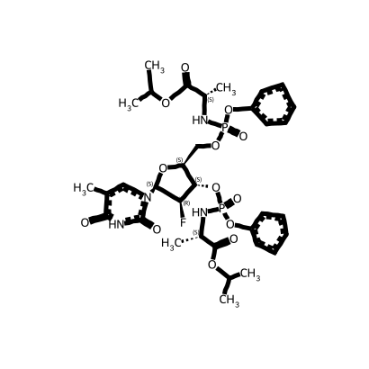 Cc1cn([C@H]2O[C@@H](COP(=O)(N[C@@H](C)C(=O)OC(C)C)Oc3ccccc3)[C@H](OP(=O)(N[C@@H](C)C(=O)OC(C)C)Oc3ccccc3)[C@H]2F)c(=O)[nH]c1=O